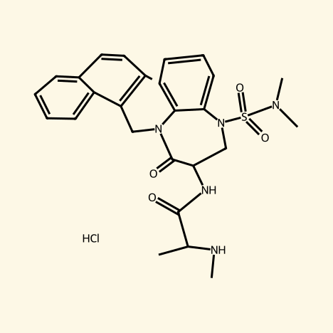 CNC(C)C(=O)NC1CN(S(=O)(=O)N(C)C)c2ccccc2N(Cc2c(C)ccc3ccccc23)C1=O.Cl